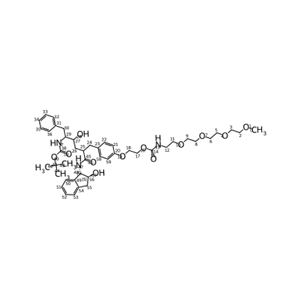 COCCOCCOCCOCCNC(=O)OCCOc1ccc(CC(CC(O)C(Cc2ccccc2)NC(=O)OC(C)(C)C)C(=O)N[C@H]2c3ccccc3C[C@@H]2O)cc1